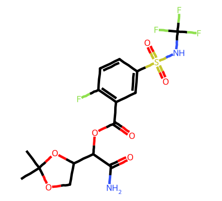 CC1(C)OCC(C(OC(=O)c2cc(S(=O)(=O)NC(F)(F)F)ccc2F)C(N)=O)O1